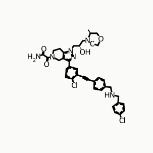 C[C@H]1COCCN1C[C@H](O)Cn1nc(-c2ccc(Cl)c(C#Cc3ccc(CNCc4ccc(Cl)cc4)cc3)c2)c2c1CCN(C(=O)C(N)=O)C2